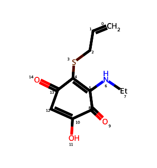 C=CCSC1=C(NCC)C(=O)C(O)=CC1=O